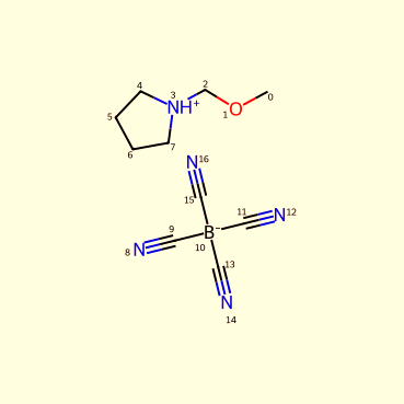 COC[NH+]1CCCC1.N#C[B-](C#N)(C#N)C#N